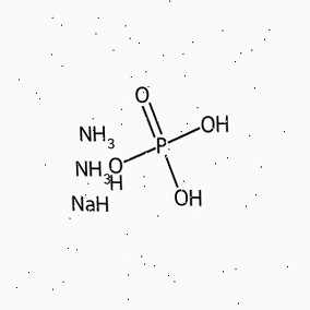 N.N.O=P(O)(O)O.[NaH]